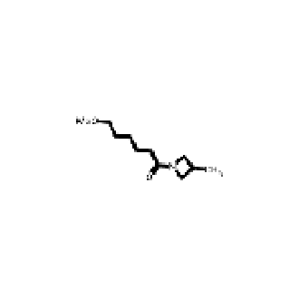 COCCCCCC(=O)N1CC(C)C1